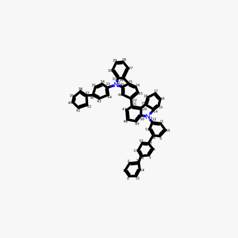 c1ccc(-c2ccc(-c3cccc(-n4c5ccccc5c5c(-c6ccc7c8ccccc8n(-c8ccc(-c9ccccc9)cc8)c7c6)cccc54)c3)cc2)cc1